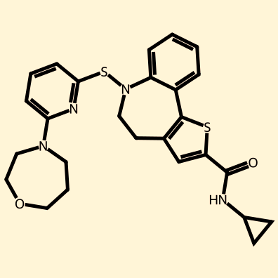 O=C(NC1CC1)c1cc2c(s1)-c1ccccc1N(Sc1cccc(N3CCCOCC3)n1)CC2